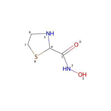 O=C(NO)C1NCCS1